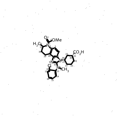 COC(=O)N1c2ccc3c(nc(N(C)c4ccccc4Cl)n3[C@@H]3CCC[C@@H](C(=O)O)C3)c2CCC1C